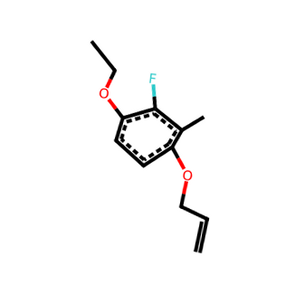 C=CCOc1ccc(OCC)c(F)c1C